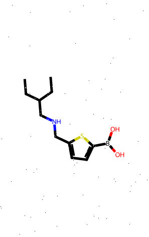 CCC(CC)CNCc1ccc(B(O)O)s1